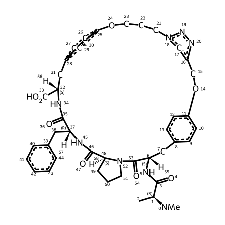 CN[C@@H](C)C(=O)N[C@H]1Cc2ccc(cc2)OCc2cn(nn2)CCCOc2ccc(cc2)C[C@@H](C(=O)O)NC(=O)[C@@H](Cc2ccccc2)NC(=O)[C@@H]2CCCN2C1=O